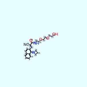 N#C/C(=C\c1ccc2ccccc2c1N1CCC1)C(=O)NCCOCCOCCO